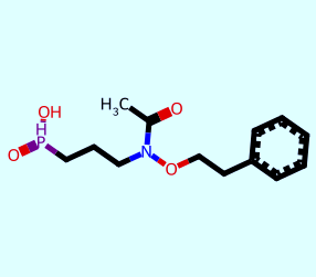 CC(=O)N(CCC[PH](=O)O)OCCc1ccccc1